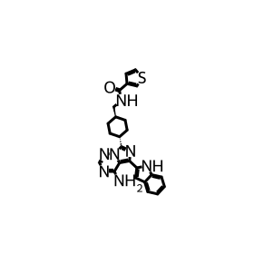 Nc1ncnn2c1c(-c1cc3ccccc3[nH]1)nc2[C@H]1CC[C@H](CNC(=O)c2ccsc2)CC1